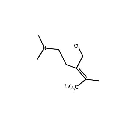 CC(C(=O)O)=C(CCl)CCN(C)C